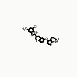 Cc1cc(Cl)c2[nH]c(C3COc4ccc(Oc5ccnc6c5CCC(=O)N6)cc4C3)nc2c1